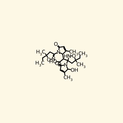 CCC1(C)CC(N2C(=O)C=C(C)C2C(C(=O)O)C2(N3C(=O)C=C(C)C3O)CC(C)(CC)ON2)=NO1